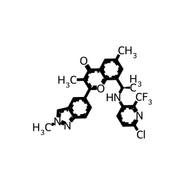 Cc1cc([C@@H](C)Nc2ccc(Cl)nc2C(F)(F)F)c2oc(-c3ccc4nn(C)cc4c3)c(C)c(=O)c2c1